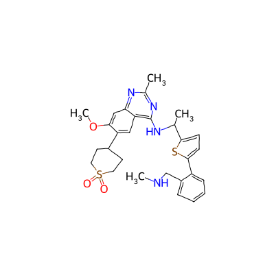 CNCc1ccccc1-c1ccc(C(C)Nc2nc(C)nc3cc(OC)c(C4CCS(=O)(=O)CC4)cc23)s1